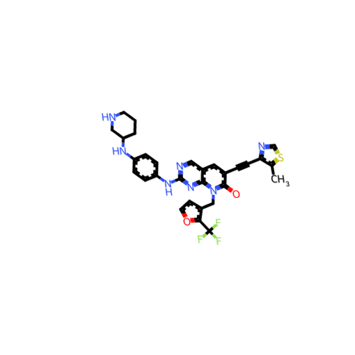 Cc1scnc1C#Cc1cc2cnc(Nc3ccc(NC4CCCNC4)cc3)nc2n(Cc2ccoc2C(F)(F)F)c1=O